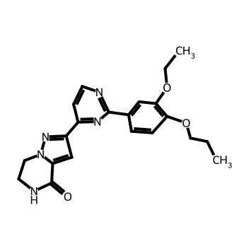 CCCOc1ccc(-c2nccc(-c3cc4n(n3)CCNC4=O)n2)cc1OCC